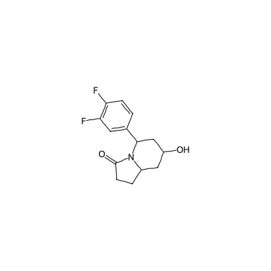 O=C1CCC2CC(O)CC(c3ccc(F)c(F)c3)N12